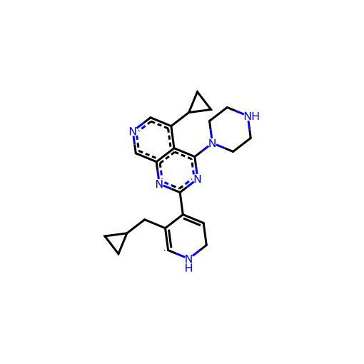 [C]1=C(CC2CC2)C(c2nc(N3CCNCC3)c3c(C4CC4)cncc3n2)=CCN1